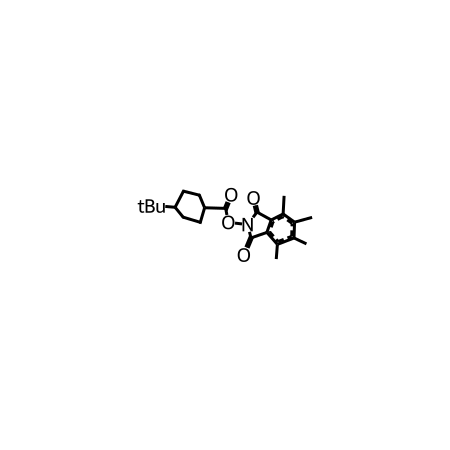 Cc1c(C)c(C)c2c(c1C)C(=O)N(OC(=O)C1CCC(C(C)(C)C)CC1)C2=O